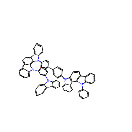 c1ccc(-n2c3ccccc3c3ccc4c(c5ccccc5n4-c4ccc(-c5ccc(-n6c7ccccc7c7ccc8c9ccccc9n(-c9cccc(-n%10c%11ccccc%11c%11ccccc%11%10)c9)c8c76)cc5)cc4)c32)cc1